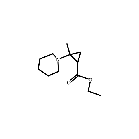 CCOC(=O)C1CC1(C)N1CCCCC1